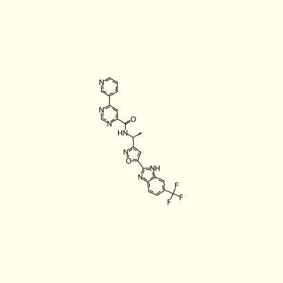 C[C@H](NC(=O)c1cc(-c2cccnc2)ncn1)c1cc(-c2nc3ccc(C(F)(F)F)cc3[nH]2)on1